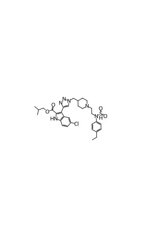 CCc1ccc(N(CCN2CCC(Cn3cc(-c4c(C(=O)OCC(C)C)[nH]c5ccc(Cl)cc45)nn3)CC2)[SH](=O)=O)cc1